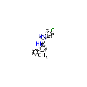 Cc1ccccc1C1=CC(NCc2cncn2Cc2ccc(Cl)cc2)CCCC1